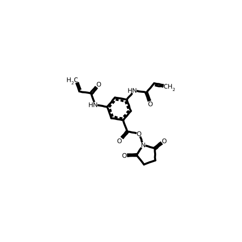 C=CC(=O)Nc1cc(NC(=O)C=C)cc(C(=O)ON2C(=O)CCC2=O)c1